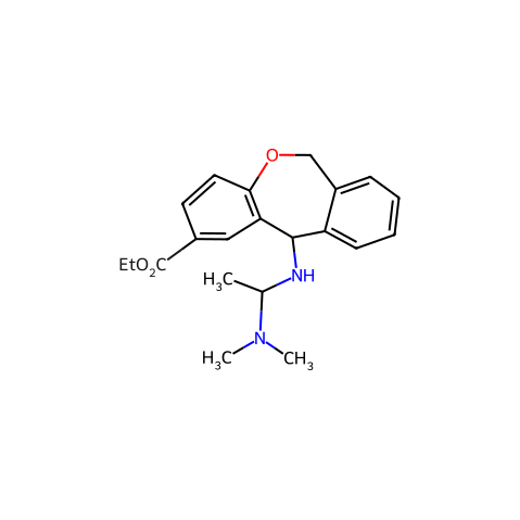 CCOC(=O)c1ccc2c(c1)C(NC(C)N(C)C)c1ccccc1CO2